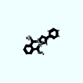 NC(=O)c1ccccc1C(N)=O.c1ccc(C2=NOCC2)cc1